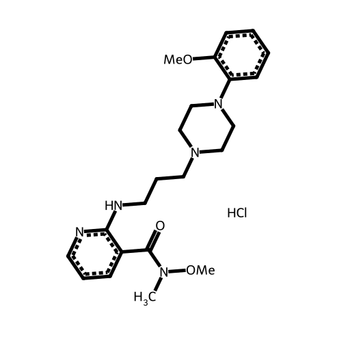 COc1ccccc1N1CCN(CCCNc2ncccc2C(=O)N(C)OC)CC1.Cl